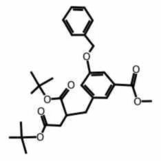 COC(=O)c1cc(CC(CC(=O)OC(C)(C)C)C(=O)OC(C)(C)C)cc(OCc2ccccc2)c1